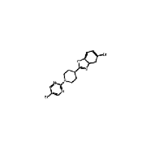 CCc1cnc(N2CCC(C3=NC4CC(Br)=CC=C4O3)CC2)nc1